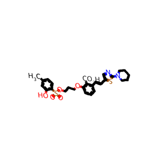 Cc1ccc(S(=O)(=O)OCCCOc2cccc(C=Cc3cnc(N4CCCCC4)s3)c2C(=O)O)c(O)c1